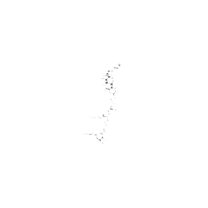 COCC(=O)N(CCCOCC1OC(OC)[C@@H](O)[C@@H](O)[C@H]1C)CCC(=O)OCCOC1CC[C@]2(C)C(=CC[C@@H]3[C@H]4CC[C@@H]([C@@H](C)CCCC(C)C)[C@]4(C)CC[C@H]32)C1